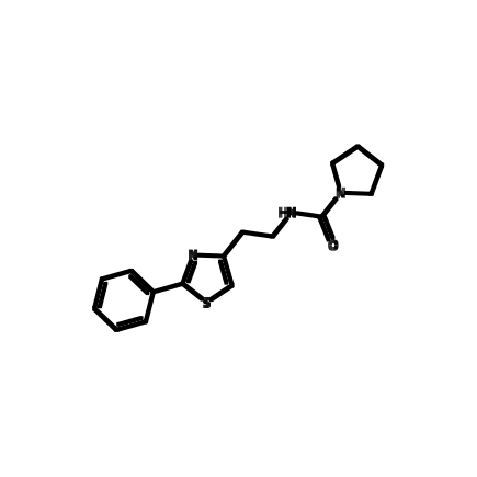 O=C(NCCc1csc(-c2ccccc2)n1)N1CCCC1